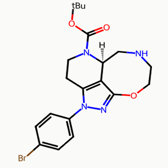 CC(C)(C)OC(=O)N1CCc2c3c(nn2-c2ccc(Br)cc2)OCCNC[C@@H]31